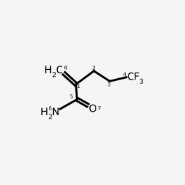 C=C(CCC(F)(F)F)C(N)=O